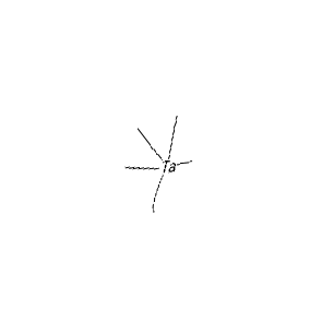 [CH3][Ta]([CH3])([CH3])([CH3])[CH3]